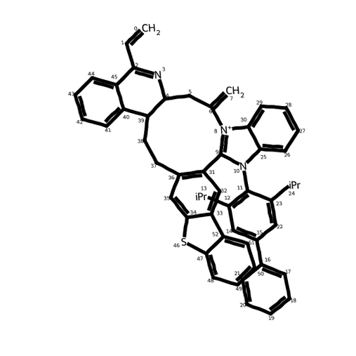 C=CC1=NC2CC(=C)[n+]3c(n(-c4c(C(C)C)cc(-c5ccccc5)cc4C(C)C)c4ccccc43)-c3cc4c(cc3CCC2c2ccccc21)sc1ccccc14